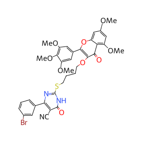 COc1cc(OC)c2c(=O)c(OCCCCSc3nc(-c4cccc(Br)c4)c(C#N)c(=O)[nH]3)c(-c3cc(OC)c(OC)c(OC)c3)oc2c1